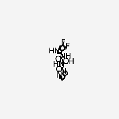 O=C(Nc1c[nH]c2cc(F)c(F)cc12)C(O)NCC(=O)N1CCc2cccnc21